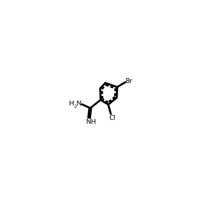 N=C(N)c1ccc(Br)cc1Cl